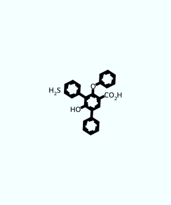 O=C(O)c1cc(-c2ccccc2)c(O)c(-c2ccccc2)c1Oc1ccccc1.S